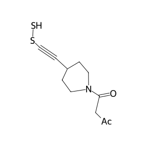 CC(=O)CC(=O)N1CCC(C#CSS)CC1